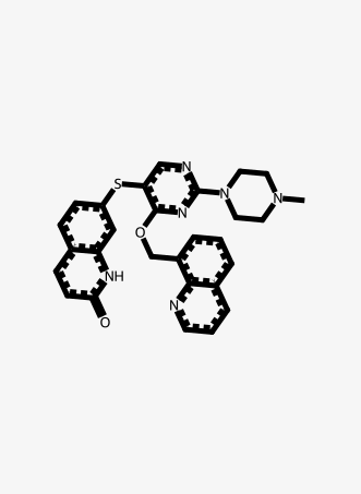 CN1CCN(c2ncc(Sc3ccc4ccc(=O)[nH]c4c3)c(OCc3cccc4cccnc34)n2)CC1